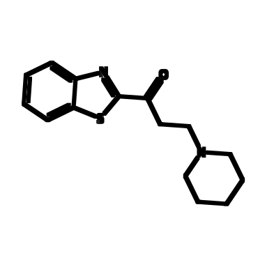 O=C(CCN1CCCCC1)c1nc2ccccc2s1